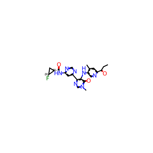 CCC(=O)c1cc(C)c(Nc2c(-c3cc(NC(=O)[C@H]4C[C@H]4F)ncn3)ncn(C)c2=O)cn1